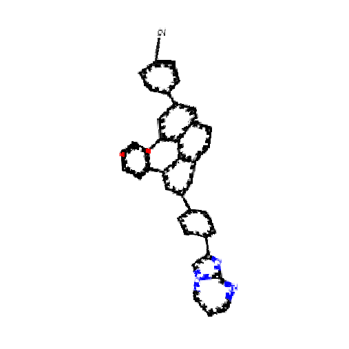 N#Cc1ccc(-c2cc(-c3ccccc3)c3c(ccc4cc(-c5ccc(-c6cn7cccnc7n6)cc5)cc(-c5ccccc5)c43)c2)cc1